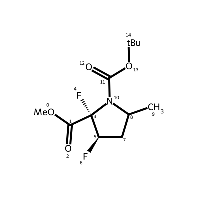 COC(=O)[C@]1(F)[C@H](F)CC(C)N1C(=O)OC(C)(C)C